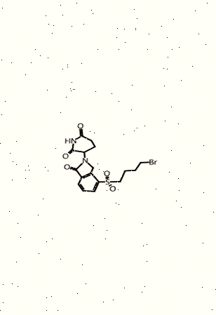 O=C1CCC(N2Cc3c(cccc3S(=O)(=O)CCCCBr)C2=O)C(=O)N1